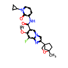 CC(C)Oc1c(C(=O)Nc2cccn(C3CC3)c2=O)cn2cc(C34CCC(C)(C3)OC4)nc2c1F